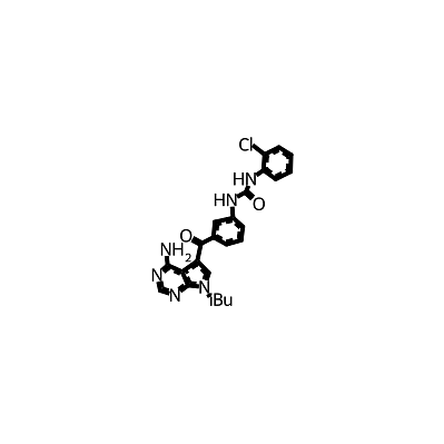 CCC(C)n1cc(C(=O)c2cccc(NC(=O)Nc3ccccc3Cl)c2)c2c(N)ncnc21